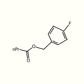 CCCC(=O)OCc1ccc(F)cc1